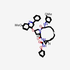 COc1cccc(N[C@H]2CCCCC/C=C\[C@@H]3C[C@@]3(C(=O)NOc3ccccc3)NC(=O)[C@@H]3C[C@@H](Oc4cc(-c5ccccc5)nc5cc(OC)ccc45)CN3C2=O)c1